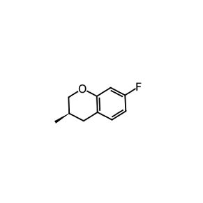 C[C@H]1COc2cc(F)ccc2C1